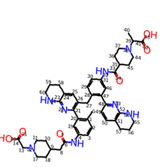 Cc1ccc(NC(=O)CC2CCN(CC(=O)O)CC2)cc1-c1nc2c(cc1Cc1ccc(NC(=O)C3CCN(C(C)C(=O)O)CC3)cc1-c1ccc3c(n1)NCCC3)CCCN2